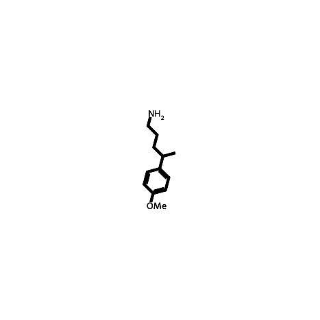 COc1ccc(C(C)CCCN)cc1